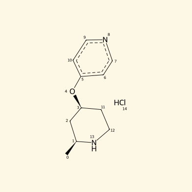 C[C@H]1C[C@@H](Oc2ccncc2)CCN1.Cl